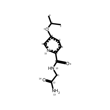 CC(C)Oc1ccc(C(=O)NCC(N)=O)nc1